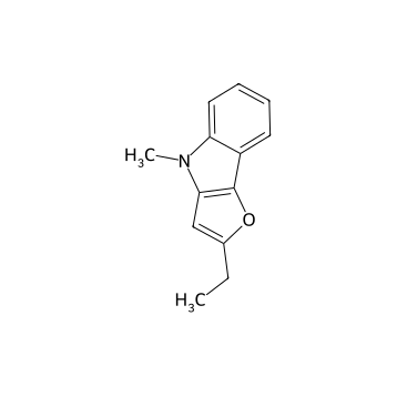 CCc1cc2c(o1)c1ccccc1n2C